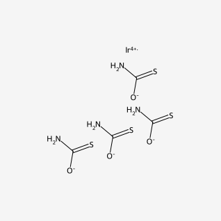 NC([O-])=S.NC([O-])=S.NC([O-])=S.NC([O-])=S.[Ir+4]